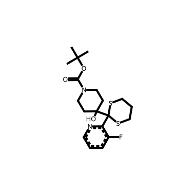 CC(C)(C)OC(=O)N1CCC(O)(C2(c3ncccc3F)SCCCS2)CC1